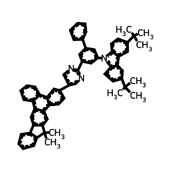 CC(C)(C)c1ccc2c(c1)c1cc(C(C)(C)C)ccc1n2-c1cc(-c2ccccc2)cc(-c2ncc(-c3ccc4c(c3)c3ccccc3c3cc5c(cc43)C(C)(C)c3ccccc3-5)cn2)c1